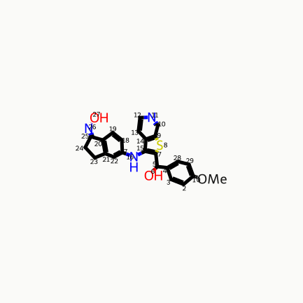 COc1ccc(C(O)c2sc3cnccc3c2Nc2ccc3c(c2)CC/C3=N/O)cc1